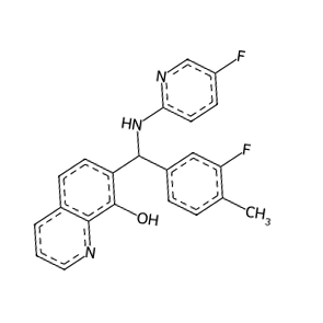 Cc1ccc(C(Nc2ccc(F)cn2)c2ccc3cccnc3c2O)cc1F